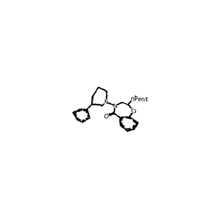 CCCCCC1CN(N2CCCC(c3ccccc3)C2)C(=O)c2ccccc2O1